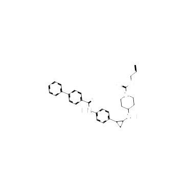 C=CCOC(=O)N1CCC(NC2CC2c2ccc(NC(=O)c3ccc(-c4ccccc4)cc3)cc2)CC1